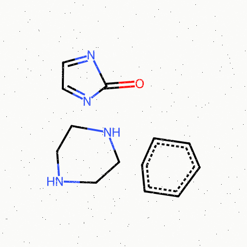 C1CNCCN1.O=C1N=CC=N1.c1ccccc1